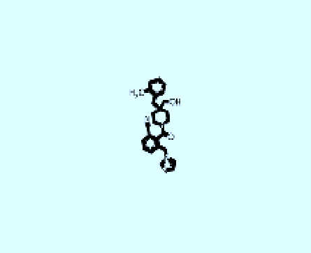 Cc1ccccc1CC1(CO)CCN(C(=O)c2c(C#N)cccc2Cn2ccnc2)CC1